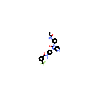 C=CC(=O)Nc1cccc(-n2c(=O)n(-c3ccc(NC(=O)c4cccc(C(F)(F)F)c4)cc3)c3cnccc32)c1